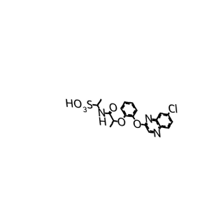 CC(Oc1ccccc1Oc1cnc2ccc(Cl)cc2n1)C(=O)NC(C)S(=O)(=O)O